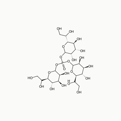 O=P(OC1O[C@H](C(O)CO)[C@@H](O)[C@H](O)[C@@H]1O)(OC1O[C@H](C(O)CO)[C@@H](O)[C@H](O)[C@@H]1O)OC1O[C@H](C(O)CO)[C@@H](O)[C@H](O)[C@@H]1O